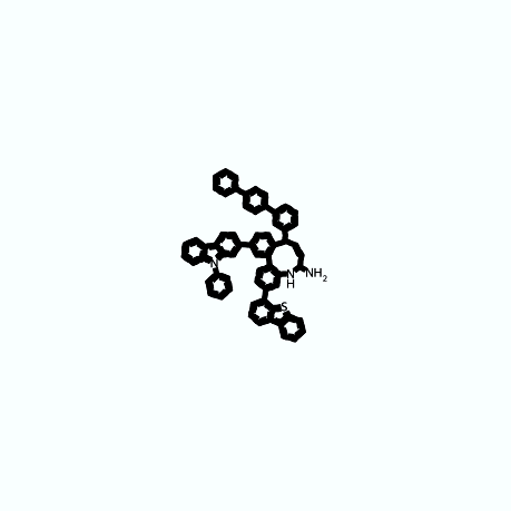 NC1/C=C\C(c2cccc(-c3ccc(-c4ccccc4)cc3)c2)c2ccc(-c3ccc4c5ccccc5n(-c5ccccc5)c4c3)cc2-c2ccc(-c3cccc4c3sc3ccccc34)cc2N1